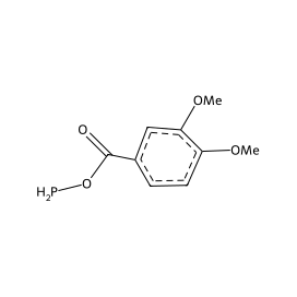 COc1ccc(C(=O)OP)cc1OC